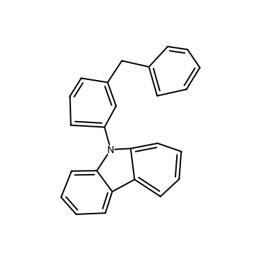 c1ccc(Cc2cccc(-n3c4ccccc4c4ccccc43)c2)cc1